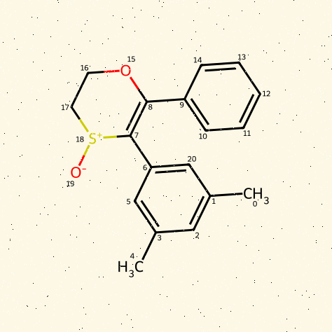 Cc1cc(C)cc(C2=C(c3ccccc3)OCC[S+]2[O-])c1